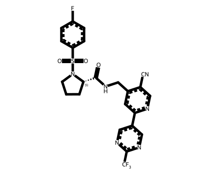 N#Cc1cnc(-c2cnc(C(F)(F)F)nc2)cc1CNC(=O)[C@@H]1CCCN1S(=O)(=O)c1ccc(F)cc1